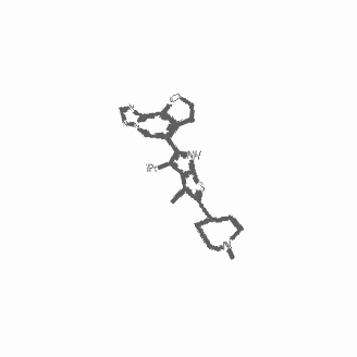 Cc1c(C2CCN(C)CC2)sc2[nH]c(-c3cn4ncnc4c4c3CCO4)c(C(C)C)c12